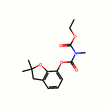 CCOC(=O)N(C)C(=O)Oc1cccc2c1OC(C)(C)C2